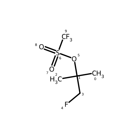 CC(C)(CF)OS(=O)(=O)C(F)(F)F